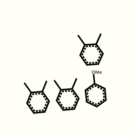 COc1ccccc1.Cc1ccccc1C.Cc1ccccc1C.Cc1ccccc1C